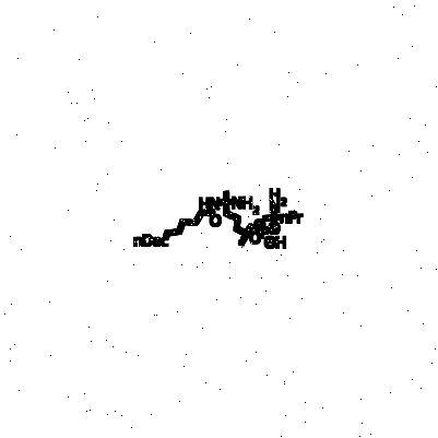 CCCCCCCCCCCCCCCC(=O)NC(C)(N)CCCC(C)(C)OP(=O)(O)OC(C)(N)CCC